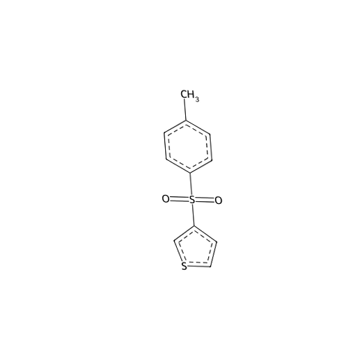 Cc1ccc(S(=O)(=O)c2ccsc2)cc1